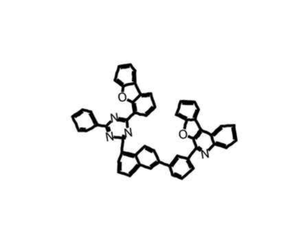 c1ccc(-c2nc(-c3cccc4cc(-c5cccc(-c6nc7ccccc7c7c6oc6ccccc67)c5)ccc34)nc(-c3cccc4c3oc3ccccc34)n2)cc1